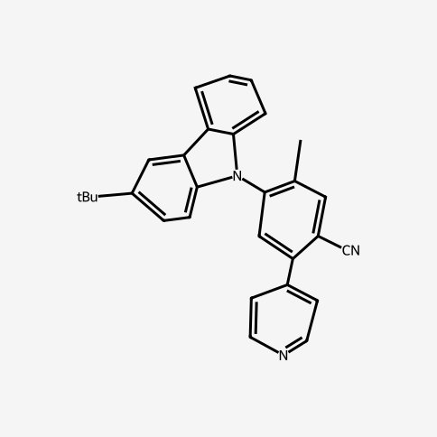 Cc1cc(C#N)c(-c2ccncc2)cc1-n1c2ccccc2c2cc(C(C)(C)C)ccc21